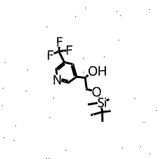 CC(C)(C)[Si](C)(C)OCC(O)c1cncc(C(F)(F)F)c1